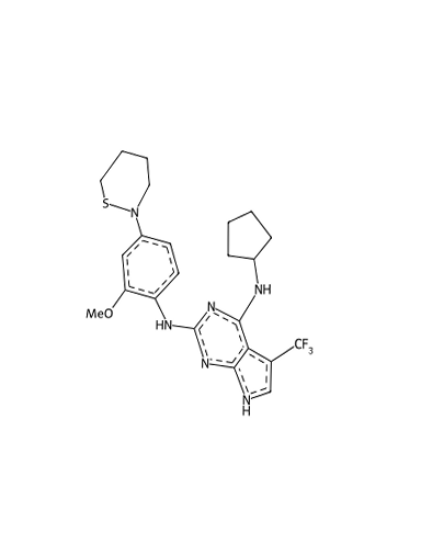 COc1cc(N2CCCCS2)ccc1Nc1nc(NC2CCCC2)c2c(C(F)(F)F)c[nH]c2n1